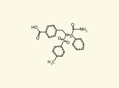 Cc1ccc(S(=O)(=O)N(Cc2ccc(C(=O)O)cc2)[C@@H](C(N)=O)c2ccccc2)cc1